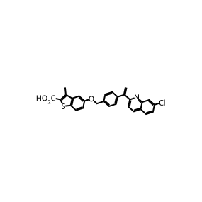 C=C(c1ccc(COc2ccc3sc(C(=O)O)c(C)c3c2)cc1)c1ccc2ccc(Cl)cc2n1